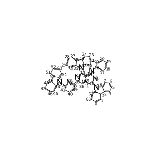 C1=CC2c3ccccc3N(c3cccc(-n4c5ccccc5c5ccc6c7ccccc7n(-c7cccc(-c8cccc(-n9c%10ccccc%10c%10ccccc%109)n8)n7)c6c54)n3)C2C=C1